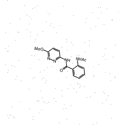 COc1ccc(NC(=O)c2ccccc2NC(C)=O)nn1